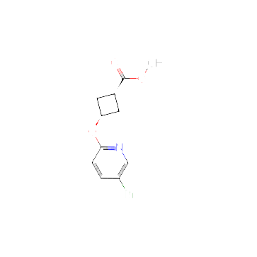 COC(=O)[C@H]1C[C@@H](Oc2ccc(Br)cn2)C1